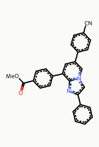 COC(=O)c1ccc(-c2cc(-c3ccc(C#N)cc3)cn3cc(-c4ccccc4)nc23)cc1